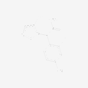 CCCc1cncn1C(C(=O)OC)c1ccc(C#N)cc1F